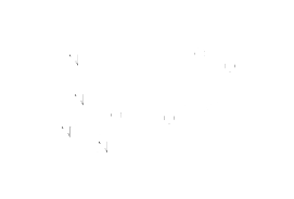 c1cnc(N2CCNCC2)c(OCCOc2ccc3c(c2)OCO3)n1